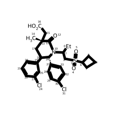 CCC(CS(=O)(=O)C1CCC1)N1C(=O)[C@@](C)(CC(=O)O)CC(c2cccc(Cl)c2)[C@H]1c1ccc(Cl)cc1